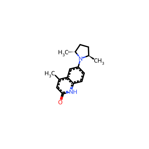 Cc1cc(=O)[nH]c2ccc(N3[C@H](C)CC[C@H]3C)cc12